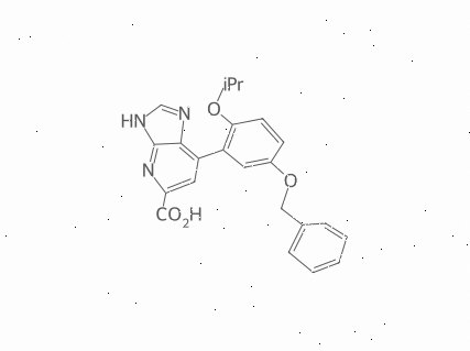 CC(C)Oc1ccc(OCc2ccccc2)cc1-c1cc(C(=O)O)nc2[nH]cnc12